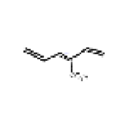 C=C/C=C(/C=C)C(=O)O